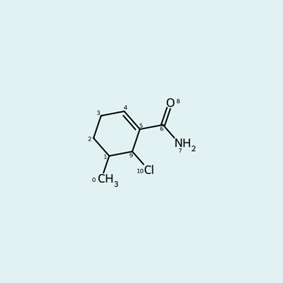 CC1CCC=C(C(N)=O)C1Cl